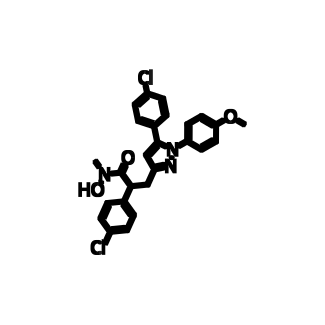 COc1ccc(-n2nc(CC(C(=O)N(C)O)c3ccc(Cl)cc3)cc2-c2ccc(Cl)cc2)cc1